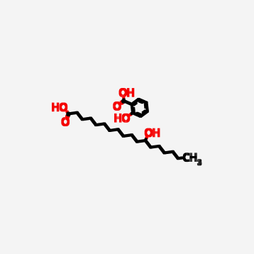 CCCCCCC(O)CCCCCCCCCCC(=O)O.O=C(O)c1ccccc1O